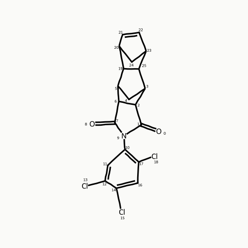 O=C1C2C3CC(C2C(=O)N1c1cc(Cl)c(Cl)cc1Cl)C1C2C=CC(C2)C31